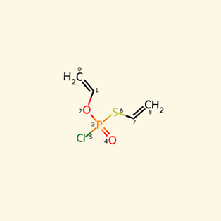 C=COP(=O)(Cl)SC=C